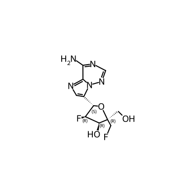 Nc1ncnn2c([C@@H]3O[C@@](CO)(CF)[C@@H](O)[C@H]3F)cnc12